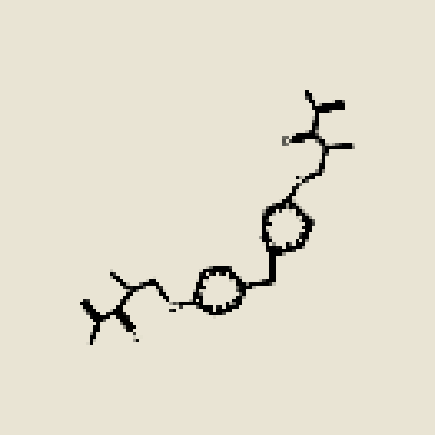 C=C(C)C(=O)C(C)COc1ccc(Cc2ccc(OCC(C)C(=O)C(=C)C)cc2)cc1